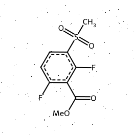 COC(=O)c1c(F)ccc(S(C)(=O)=O)c1F